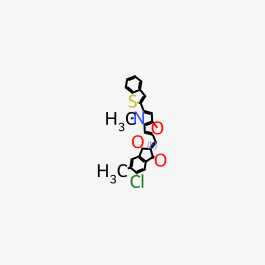 Cc1cc2c(cc1Cl)C(=O)/C(=C/c1cc3c(cc(-c4cc5ccccc5s4)n3C)o1)C2=O